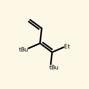 C=C/C(=C(\CC)C(C)(C)C)C(C)(C)C